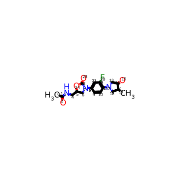 CC(=O)NCC1CN(c2ccc(N3CC(=O)C(C)C3)c(F)c2)C(=O)O1